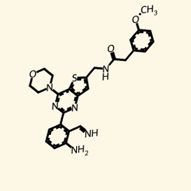 COc1cccc(CC(=O)NCc2cc3nc(-c4cccc(N)c4C=N)nc(N4CCOCC4)c3s2)c1